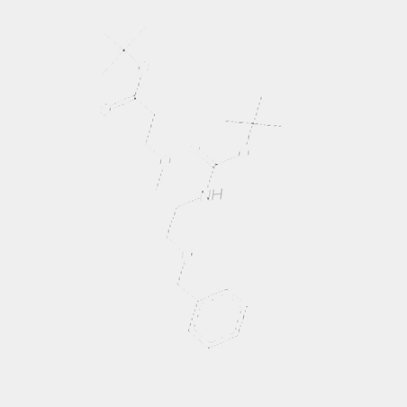 CC(C)(C)OC(=O)CCOC[C@@H](COCc1ccccc1)NC(=O)OC(C)(C)C